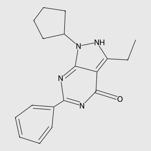 CCc1[nH]n(C2CCCC2)c2nc(-c3ccccc3)nc(=O)c1-2